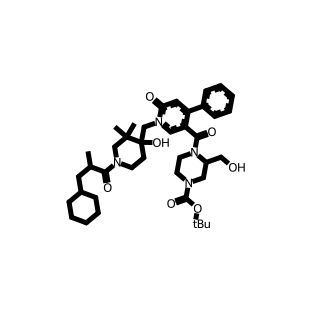 CC(CC1CCCCC1)C(=O)N1CCC(O)(Cn2cc(C(=O)N3CCN(C(=O)OC(C)(C)C)CC3CO)c(-c3ccccc3)cc2=O)C(C)(C)C1